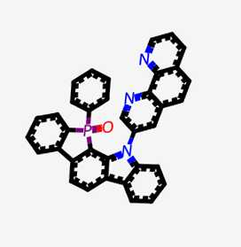 O=P1(c2ccccc2)c2ccccc2-c2ccc3c4ccccc4n(-c4cnc5c(ccc6cccnc65)c4)c3c21